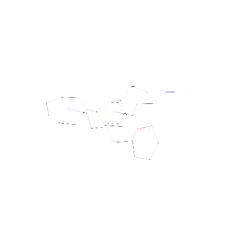 CN(C)CC[C@H](O)CN(CCN1C2CCC1CC(c1cccc(C(N)=O)c1)C2)CC1CCCCC1